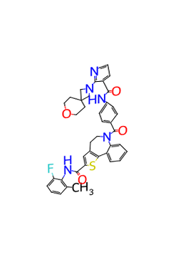 Cc1cccc(F)c1NC(=O)c1cc2c(s1)-c1ccccc1N(C(=O)c1ccc(NC(=O)c3cccnc3N3CC4(CCOCC4)C3)cc1)CC2